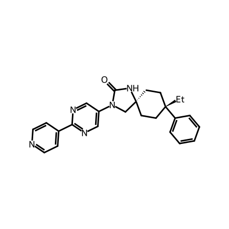 CC[C@]1(c2ccccc2)CC[C@]2(CC1)CN(c1cnc(-c3ccncc3)nc1)C(=O)N2